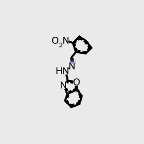 O=[N+]([O-])c1ccccc1/C=N/Nc1nc2ccccc2o1